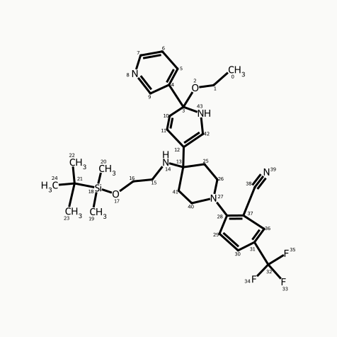 CCOC1(c2cccnc2)C=CC(C2(NCCO[Si](C)(C)C(C)(C)C)CCN(c3ccc(C(F)(F)F)cc3C#N)CC2)=CN1